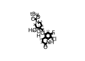 CC(C)(C)OC(=O)N1CC[C@@](O)(COc2cc(F)c(Cl)c3c2CCC(=O)N3)[C@H](O)C1